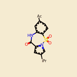 CC(=O)c1ccc2c(c1)NC(=O)c1cc(C(C)C)cn1S2(=O)=O